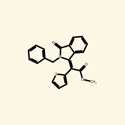 COC(=O)/C(=C1\c2ccccc2C(=O)N1Cc1ccccc1)c1cccs1